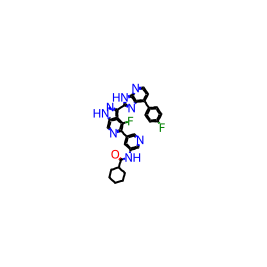 O=C(Nc1cncc(-c2ncc3[nH]nc(-c4nc5c(-c6ccc(F)cc6)ccnc5[nH]4)c3c2F)c1)C1CCCCC1